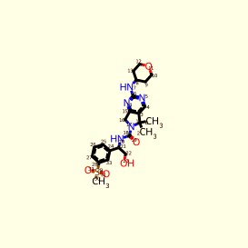 CC1(C)c2cnc(NC3CCOCC3)nc2CN1C(=O)NC(CO)c1cccc(S(C)(=O)=O)c1